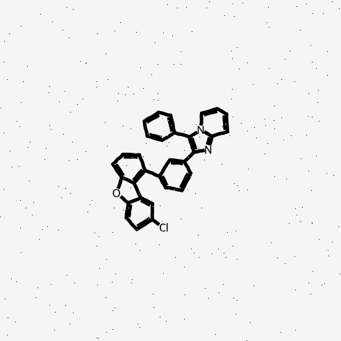 Clc1ccc2oc3cccc(-c4cccc(-c5nc6ccccn6c5-c5ccccc5)c4)c3c2c1